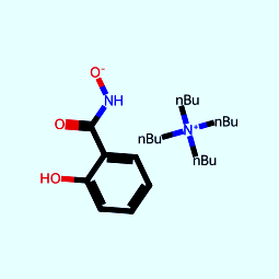 CCCC[N+](CCCC)(CCCC)CCCC.O=C(N[O-])c1ccccc1O